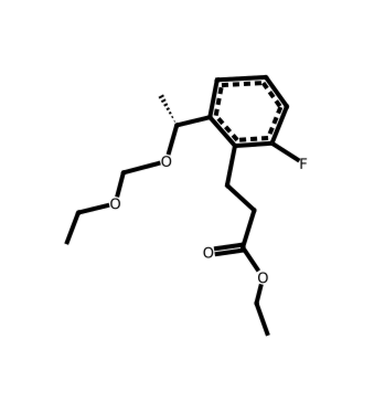 CCOCO[C@H](C)c1cccc(F)c1CCC(=O)OCC